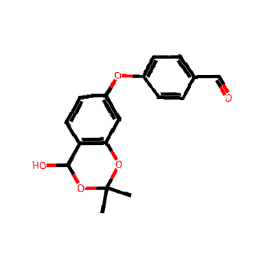 CC1(C)Oc2cc(Oc3ccc(C=O)cc3)ccc2C(O)O1